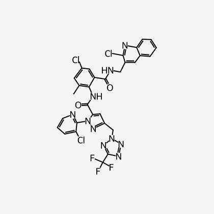 Cc1cc(Cl)cc(C(=O)NCc2cc3ccccc3nc2Cl)c1NC(=O)c1cc(Cn2nnc(C(F)(F)F)n2)nn1-c1ncccc1Cl